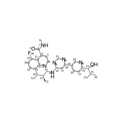 CNC(=O)c1ccnc2c(C(C)[C@H](C)CNc3cc(-c4ccc(C(O)C(C)C)nc4)ncn3)ccc(F)c12